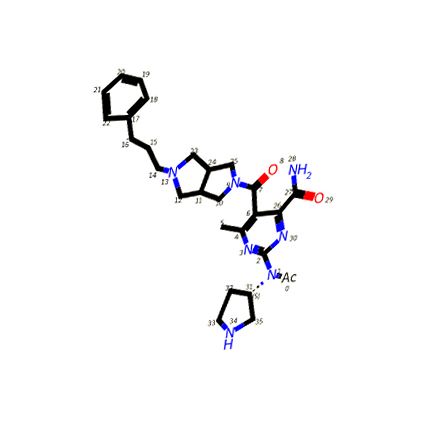 CC(=O)N(c1nc(C)c(C(=O)N2CC3CN(CC[CH]c4ccccc4)CC3C2)c(C(N)=O)n1)[C@H]1CCNC1